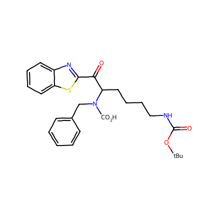 CC(C)(C)OC(=O)NCCCCC(C(=O)c1nc2ccccc2s1)N(Cc1ccccc1)C(=O)O